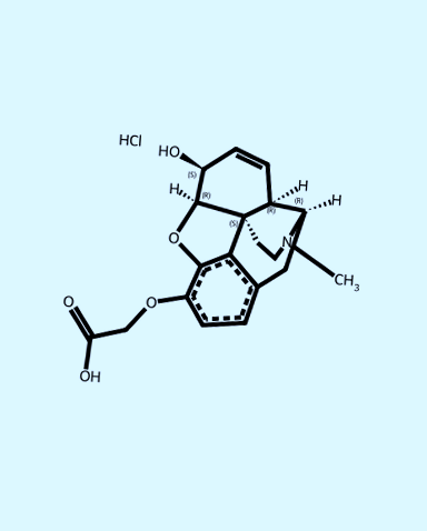 CN1CC[C@]23c4c5ccc(OCC(=O)O)c4O[C@H]2[C@@H](O)C=C[C@H]3[C@H]1C5.Cl